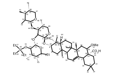 CCC1O[C@@H](OC2[C@H](O[C@H]3CCC4(C)C5CC=C6C7CC(C)(C)CC[C@]7(C(=O)O)C(OC)C[C@@]6(C)C5(C)CC[C@H]4[C@@]3(C)C=O)OC[C@@H](C)[C@@H]2O[C@@H]2OC[C@@H](C)[C@H](C)C2C)C(O[Si](CC)(CC)CC)[C@@H](C)[C@H]1C